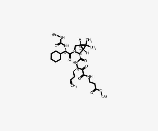 C=CCC[C@H](NC(=O)[C@@H]1[C@@H]2[C@H](CN1C(=O)[C@@H](NC(=O)NC(C)(C)C)C1CCCCC1)C2(C)C)C(=O)C(=O)NCCC(=O)OC(C)(C)C